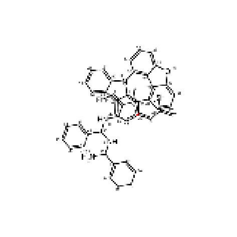 C=C(S)/C=C\C(C)(C(=CCC)CNC(NC(N)C1=CCCC=C1)c1ccccc1)c1cccc2oc3cccc(-n4c5ccccc5c5ccccc54)c3c12